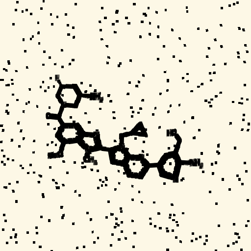 COc1cc(C(=O)N2C[C@H](N)C[C@@H](F)C2)cc2nc(-c3cc4ccc(-c5cnc(N)c(CO)c5)nc4n3CC3CC3)n(C)c12